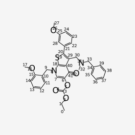 CCOC(=O)Oc1cn(Cc2ccccc2OC)c2sc(-c3cccc(OC)c3)c(CN(C)Cc3ccccc3)c2c1=O